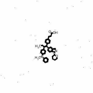 CCC(=C(c1ccc(C=CC(=O)O)cc1)c1ccc2c(cnn2C2CCCCO2)c1)c1ccc(N(C)c2ccccc2)cc1